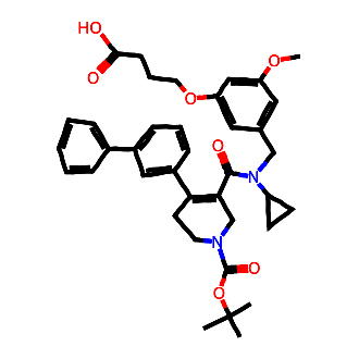 COc1cc(CN(C(=O)C2=C(c3cccc(-c4ccccc4)c3)CCN(C(=O)OC(C)(C)C)C2)C2CC2)cc(OCCCC(=O)O)c1